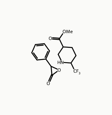 COC(=O)C1CCC(C(F)(F)F)NC1.O=C1OC1c1ccccc1